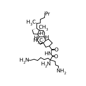 CC(C)CCC[C@@H](C)[C@H]1CC[C@H]2[C@@H]3CC=C4CC(C(=O)NC(=O)C(N)(CCCN)CCCCCCN)CC[C@]4(C)[C@H]3CC[C@]12C